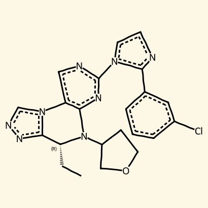 CC[C@@H]1c2nncn2-c2cnc(-n3ccnc3-c3cccc(Cl)c3)nc2N1C1CCOC1